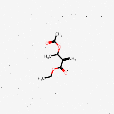 C=C(C(=O)OCC)C(C)OC(C)=O